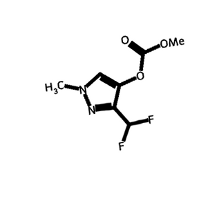 COC(=O)Oc1cn(C)nc1C(F)F